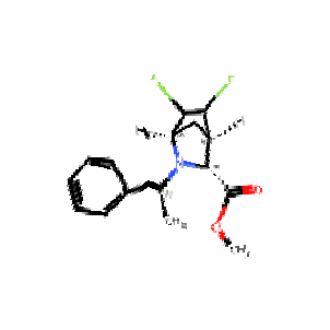 COC(=O)[C@H]1[C@H]2C[C@H](C(F)C2F)N1[C@@H](C)c1ccccc1